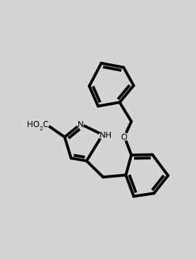 O=C(O)c1cc(Cc2ccccc2OCc2ccccc2)[nH]n1